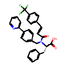 O=C(O)[C@H](Cc1ccccc1)N(Cc1ccc(-c2ccccn2)cc1)C(=O)/C=C/c1ccc(C(F)(F)F)cc1